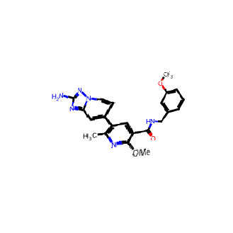 COc1nc(C)c(-c2ccn3nc(N)nc3c2)cc1C(=O)NCc1cccc(OC(F)(F)F)c1